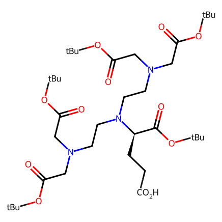 CC(C)(C)OC(=O)CN(CCN(CCN(CC(=O)OC(C)(C)C)CC(=O)OC(C)(C)C)[C@H](CCC(=O)O)C(=O)OC(C)(C)C)CC(=O)OC(C)(C)C